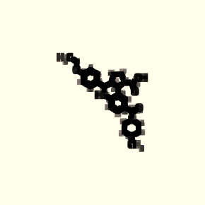 CCOc1ccc(C2Nc3ccc(C(=O)N4CCN(C)CC4)cc3C3C2CCN3C(=O)O)cc1